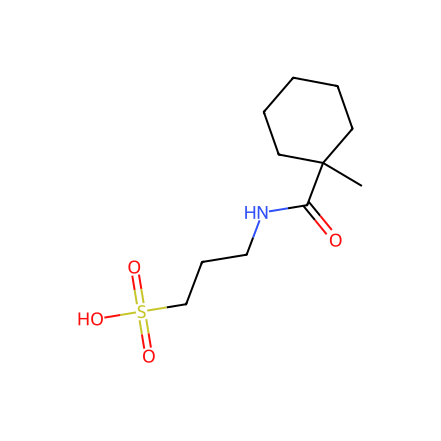 CC1(C(=O)NCCCS(=O)(=O)O)CCCCC1